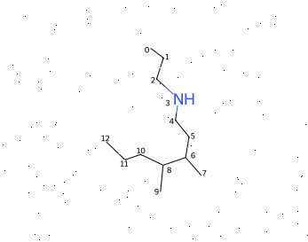 CCCNCCC(C)C(C)CCC